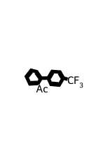 CC(=O)c1ccccc1-c1ccc(C(F)(F)F)cc1